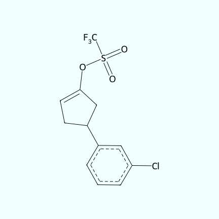 O=S(=O)(OC1=CCC(c2cccc(Cl)c2)C1)C(F)(F)F